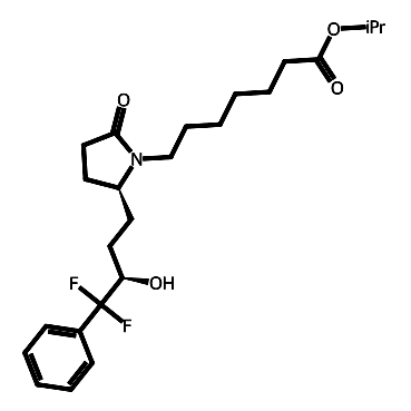 CC(C)OC(=O)CCCCCCN1C(=O)CC[C@@H]1CC[C@@H](O)C(F)(F)c1ccccc1